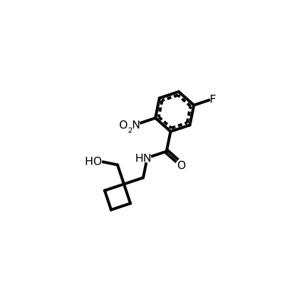 O=C(NCC1(CO)CCC1)c1cc(F)ccc1[N+](=O)[O-]